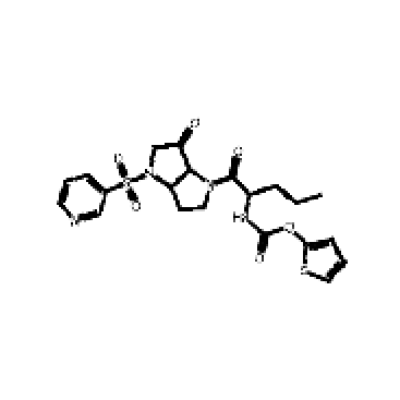 CCCC(NC(=O)Oc1cccs1)C(=O)N1CCC2C1C(=O)CN2S(=O)(=O)c1cccnc1